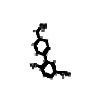 COc1ccc(C(F)(F)F)c(C2=CCC(CO)CC2)c1